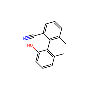 Cc1cccc(O)c1-c1c(C)cccc1C#N